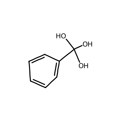 OC(O)(O)c1ccccc1